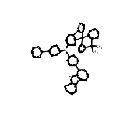 CC1(C)c2ccccc2C2(c3ccccc3-c3ccc(N(c4ccc(-c5ccccc5)cc4)c4ccc(-c5cccc6c5oc5ccccc56)cc4)cc32)c2ccccc21